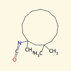 CC1(C)CCCCCCCCCCC(C)(N=C=O)C1